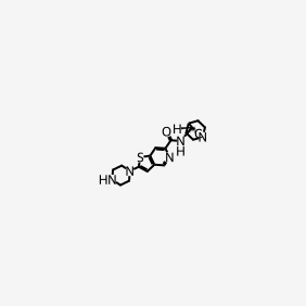 O=C(N[C@H]1CN2CCC1CC2)c1cc2sc(N3CCNCC3)cc2cn1